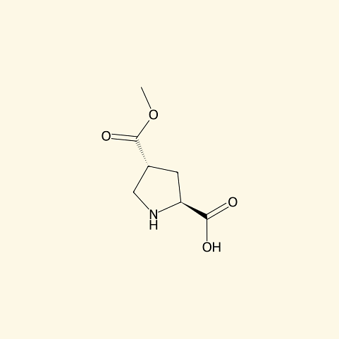 COC(=O)[C@H]1CN[C@H](C(=O)O)C1